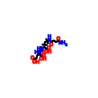 CC(C)(CC(C)(C)C(NC(=O)NC(CCC(=O)O)C(=O)O)C(=O)O)NC(=O)CCC(N)=O